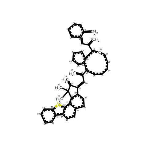 C=C(/C=c1/ccccc1=C)c1ccccccc(C(=C)/C=C2\C(=C)C(C)(C)c3c2ccc2ccc4c5ccccc5sc4c32)c2ccccc12